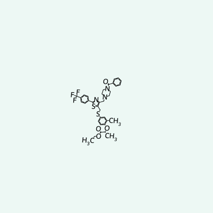 CCOC(=O)C(C)Oc1ccc(SCc2sc(-c3ccc(C(F)(F)F)cc3)nc2CN2CCN(C(=O)c3ccccc3)CC2)cc1C